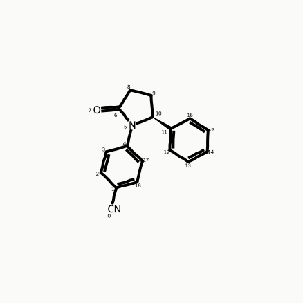 N#Cc1ccc(N2C(=O)CC[C@H]2c2ccccc2)cc1